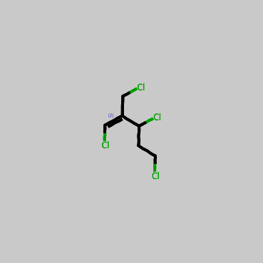 Cl/C=C(/CCl)C(Cl)CCCl